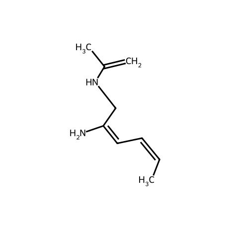 C=C(C)NC/C(N)=C\C=C/C